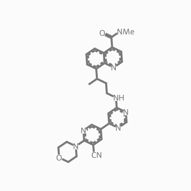 CNC(=O)c1ccnc2c(C(C)CCNc3cc(-c4cnc(N5CCOCC5)c(C#N)c4)ncn3)cccc12